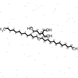 CCCCCCCCCCCCOCCCCCCCCCCCC.OCCCC(CO)CO